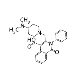 CN(C)C1CCN(Cc2c(C(=O)O)c3ccccc3c(=O)n2-c2ccccc2)CC1